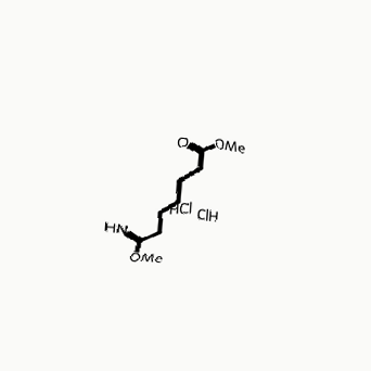 COC(=N)CCCCCC(=O)OC.Cl.Cl